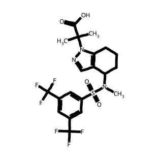 CN(C1CCCc2c1cnn2C(C)(C)C(=O)O)S(=O)(=O)c1cc(C(F)(F)F)cc(C(F)(F)F)c1